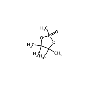 CC1(C)OP(C)(=O)OC1(C)C